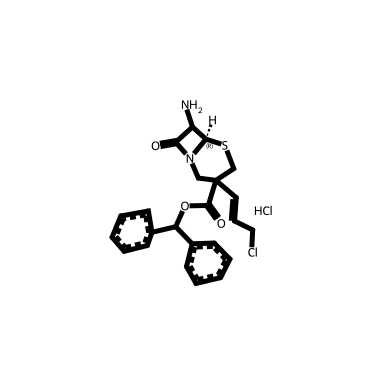 Cl.NC1C(=O)N2CC(C=CCCl)(C(=O)OC(c3ccccc3)c3ccccc3)CS[C@H]12